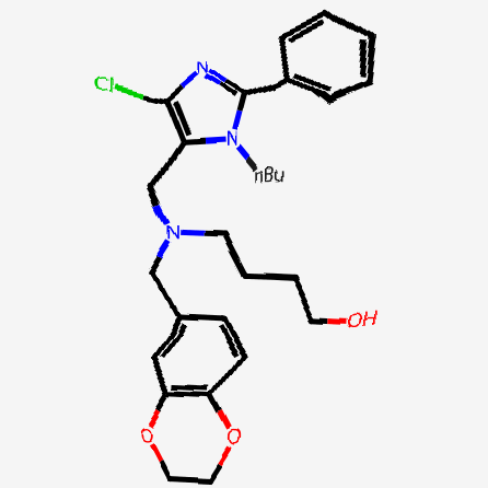 CCCCn1c(-c2ccccc2)nc(Cl)c1CN(CCCCO)Cc1ccc2c(c1)OCCO2